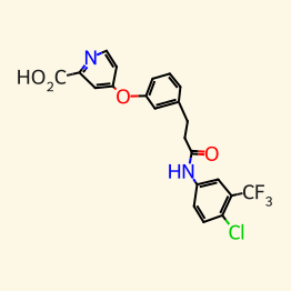 O=C(CCc1cccc(Oc2ccnc(C(=O)O)c2)c1)Nc1ccc(Cl)c(C(F)(F)F)c1